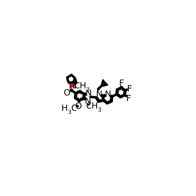 COc1cc(C(=O)N2CC3CCC2[C@@H]3C)cc2nc(-c3cc4ccc(-c5cc(F)c(F)c(F)c5)nc4n3CC3CC3)n(C)c12